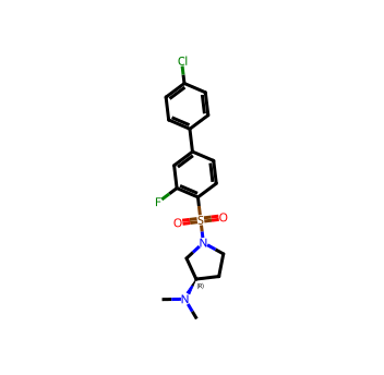 CN(C)[C@@H]1CCN(S(=O)(=O)c2ccc(-c3ccc(Cl)cc3)cc2F)C1